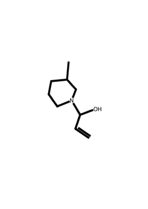 C=CC(O)N1CCCC(C)C1